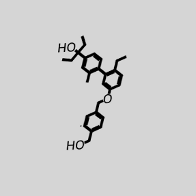 CCc1ccc(OCc2c[c]c(CO)cc2)cc1-c1ccc(C(O)(CC)CC)cc1C